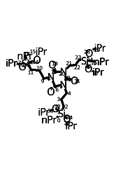 CCC[Si](CCCn1c(=O)n(CCC[Si](CCC)(OC(C)C)OC(C)C)c(=O)n(CCC[Si](CCC)(OC(C)C)OC(C)C)c1=O)(OC(C)C)OC(C)C